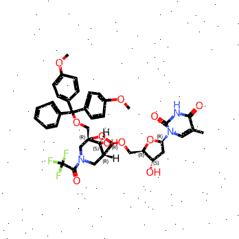 COc1ccc(C(OC[C@@]23CN(C(=O)C(F)(F)F)C[C@@H]([C@H](OC[C@H]4O[C@@H](n5cc(C)c(=O)[nH]c5=O)C[C@@H]4O)O2)[C@@H]3O)(c2ccccc2)c2ccc(OC)cc2)cc1